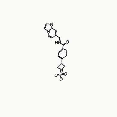 CCS(=O)(=O)N1CC(c2ccc(C(=O)NCc3ccn4ccnc4c3)cc2)C1